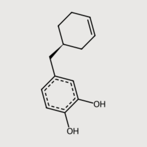 Oc1ccc(C[C@@H]2CC=CCC2)cc1O